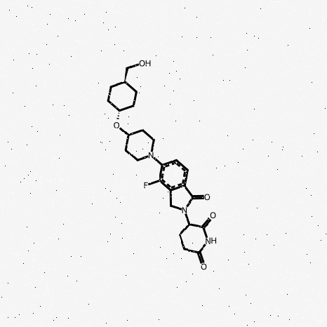 O=C1CCC(N2Cc3c(ccc(N4CCC(O[C@H]5CC[C@H](CO)CC5)CC4)c3F)C2=O)C(=O)N1